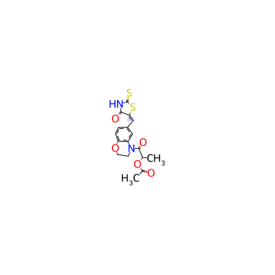 CC(=O)OC(C)C(=O)N1CCOc2ccc(/C=C3/SC(=S)NC3=O)cc21